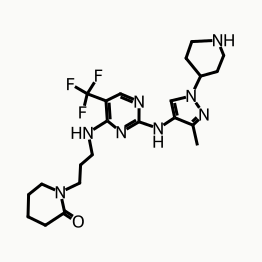 Cc1nn(C2CCNCC2)cc1Nc1ncc(C(F)(F)F)c(NCCCN2CCCCC2=O)n1